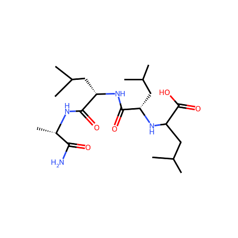 CC(C)CC(N[C@@H](CC(C)C)C(=O)N[C@@H](CC(C)C)C(=O)N[C@@H](C)C(N)=O)C(=O)O